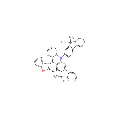 CC1(C)c2ccccc2-c2cc(N(c3ccc4c(c3)C(C)(C)c3ccccc3-4)c3ccccc3-c3cccc4oc5ccccc5c34)ccc21